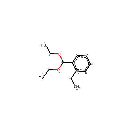 CCO[C](OCC)c1ccccc1CC